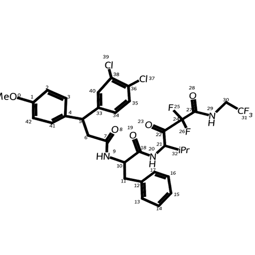 COc1ccc(C(CC(=O)NC(Cc2ccccc2)C(=O)NC(C(=O)C(F)(F)C(=O)NCC(F)(F)F)C(C)C)c2ccc(Cl)c(Cl)c2)cc1